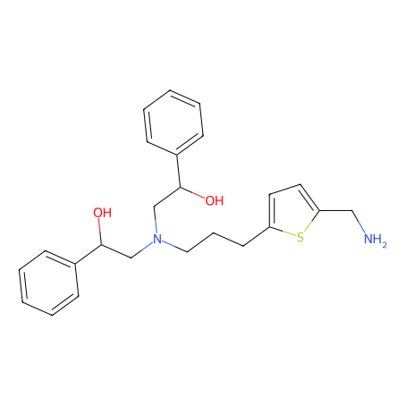 NCc1ccc(CCCN(CC(O)c2ccccc2)CC(O)c2ccccc2)s1